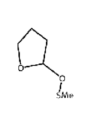 CSOC1CCCO1